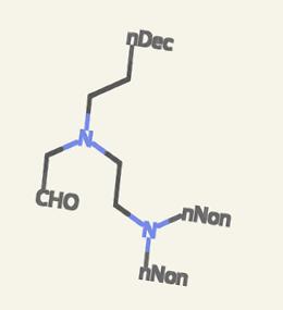 CCCCCCCCCCCCN(CC=O)CCN(CCCCCCCCC)CCCCCCCCC